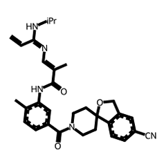 C=C/C(=N\C=C(/C)C(=O)Nc1cc(C(=O)N2CCC3(CC2)OCc2cc(C#N)ccc23)ccc1C)NC(C)C